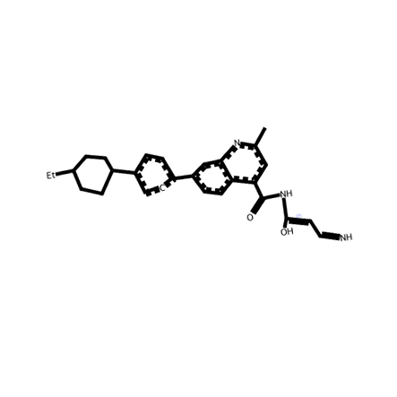 CCC1CCC(c2ccc(-c3ccc4c(C(=O)N/C(O)=C/C=N)cc(C)nc4c3)cc2)CC1